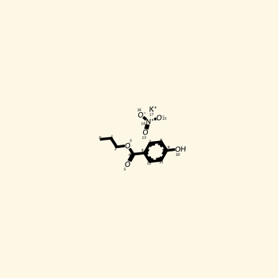 CCCOC(=O)c1ccc(O)cc1.O=[N+]([O-])[O-].[K+]